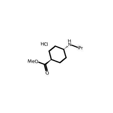 COC(=O)[C@H]1CC[C@H](NC(C)C)CC1.Cl